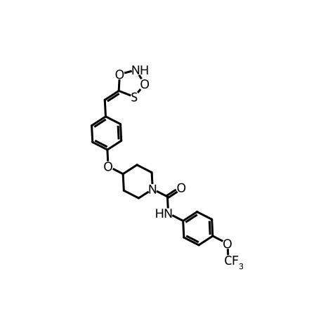 O=C(Nc1ccc(OC(F)(F)F)cc1)N1CCC(Oc2ccc(C=C3ONOS3)cc2)CC1